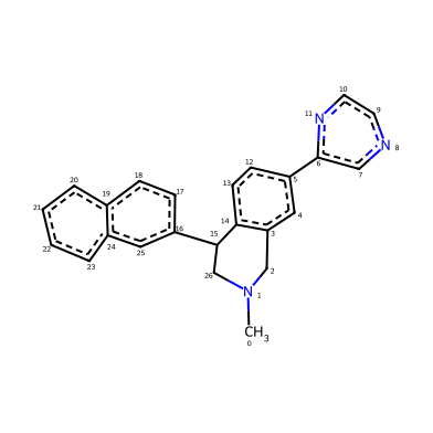 CN1Cc2cc(-c3cnccn3)ccc2C(c2ccc3ccccc3c2)C1